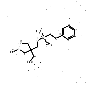 CCOCC(CO[Si](C)(C)CCc1ccccc1)(CC(C)C)CC(C)C